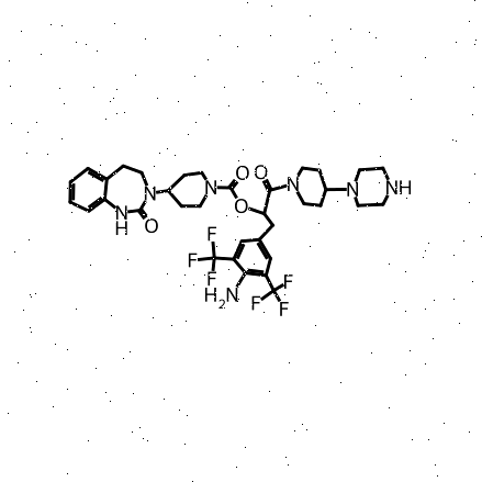 Nc1c(C(F)(F)F)cc(CC(OC(=O)N2CCC(N3CCc4ccccc4NC3=O)CC2)C(=O)N2CCC(N3CCNCC3)CC2)cc1C(F)(F)F